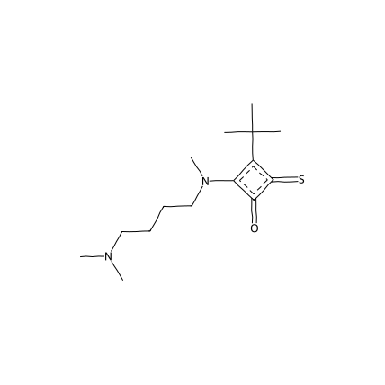 CN(C)CCCCN(C)c1c(C(C)(C)C)c(=S)c1=O